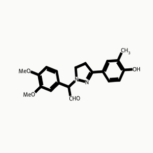 COc1ccc(C(C=O)N2CCC(c3ccc(O)c(C)c3)=N2)cc1OC